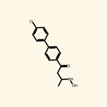 CC(CC(=O)c1ccc(-c2ccc(Cl)cc2)cc1)NO